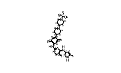 Cc1cc(Nc2nc(Nc3cc(C)c(C4CCN(C5CCN(S(C)(=O)=O)CC5)CC4)cc3F)ncc2I)n[nH]1